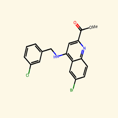 COC(=O)c1cc(NCc2cccc(Cl)c2)c2cc(Br)ccc2n1